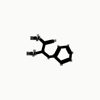 CCOC(=O)C(=O)C(Cc1ccccc1)C(=O)OCC